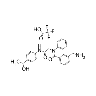 CC(O)c1ccc(NC(=O)CN(C(=O)c2cccc(CN)c2)c2ccccc2)cc1.O=C(O)C(F)(F)F